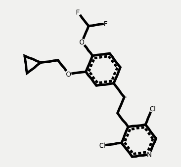 FC(F)Oc1ccc([CH]Cc2c(Cl)cncc2Cl)cc1OCC1CC1